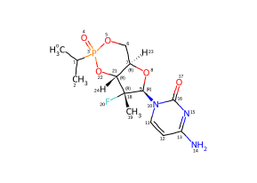 CC(C)P1(=O)OC[C@H]2O[C@@H](n3ccc(N)nc3=O)[C@](C)(F)[C@@H]2O1